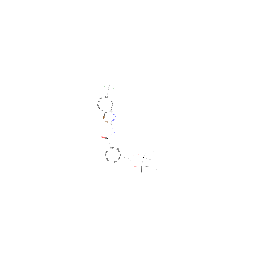 Cc1ccc(C(=O)Nc2nc3cc(C(F)(F)F)ccc3s2)cc1B1OC(C)(C)C(C)(C)O1